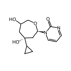 O=c1ncccn1[C@H]1C[C@@](O)(C2CC2)CC(O)CO1